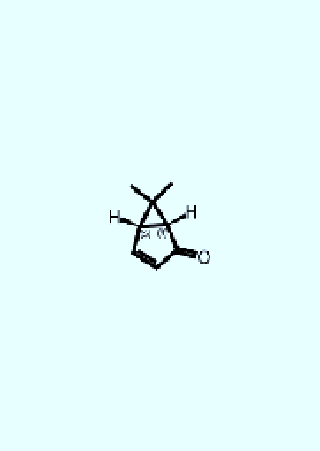 CC1(C)[C@@H]2C(=O)C=C[C@@H]21